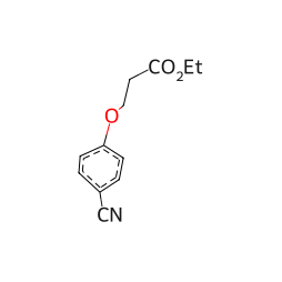 CCOC(=O)CCOc1ccc(C#N)cc1